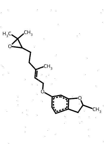 C/C(=C\COc1ccc2c(c1)OC(C)C2)CCC1OC1(C)C